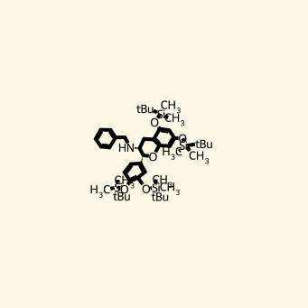 CC(C)(C)[Si](C)(C)Oc1cc2c(c(O[Si](C)(C)C(C)(C)C)c1)C[C@@H](NCc1ccccc1)[C@@H](c1ccc(O[Si](C)(C)C(C)(C)C)c(O[Si](C)(C)C(C)(C)C)c1)O2